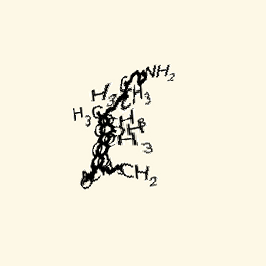 C=C/C=C\CCC1OC2CCC3(C)OC4C(O)CC5(C)OC(CC/C=C(C)/C(C)=C/C=C\c6cccc(N)c6)C(C)CC5OC4CC3OC2CCC1(C)N=O